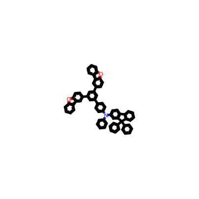 c1ccc(N(c2ccc(-c3cc(-c4ccc5oc6ccccc6c5c4)cc(-c4ccc5oc6ccccc6c5c4)c3)cc2)c2ccc3c(c2)C(c2ccccc2)(c2ccccc2)c2ccccc2-3)cc1